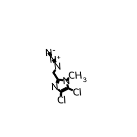 Cn1c(CN=[N+]=[N-])nc(Cl)c1Cl